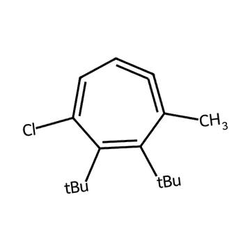 CC1=C=CC=C(Cl)C(C(C)(C)C)=C1C(C)(C)C